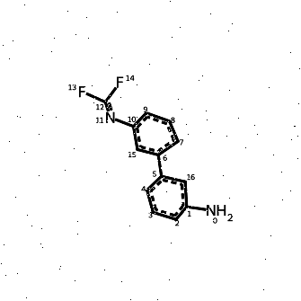 Nc1cccc(-c2cccc(N=C(F)F)c2)c1